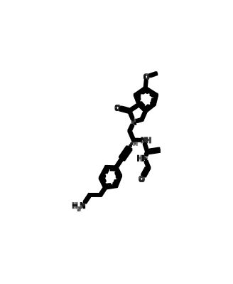 C=C(NC=O)N[C@H](C#Cc1ccc(CCN)cc1)CN1Cc2ccc(OC)cc2C1=O